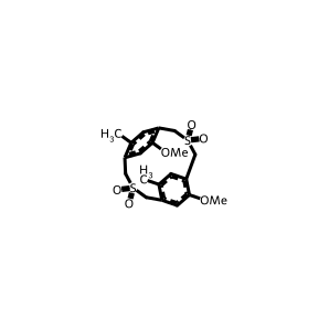 COc1cc2c(C)cc1CS(=O)(=O)Cc1cc(C)c(cc1OC)CS(=O)(=O)C2